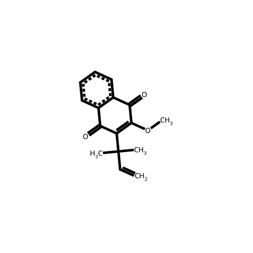 C=CC(C)(C)C1=C(OC)C(=O)c2ccccc2C1=O